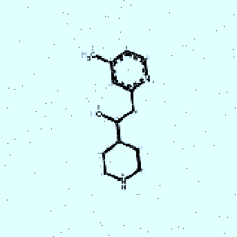 Cc1ccnc(CC(O)C2CCNCC2)c1